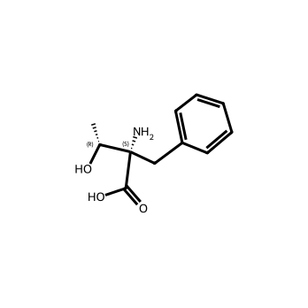 C[C@@H](O)[C@@](N)(Cc1ccccc1)C(=O)O